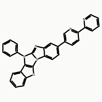 c1ccc(-n2c3c4ccccc4oc3n3c4ccc(-c5ccc(-c6ccccn6)nc5)cc4nc23)cc1